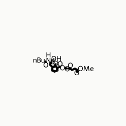 CCCCC(=O)N[C@H]1Cc2cccc(C(=O)OCOC(=O)CCC(=O)OC)c2OB1O